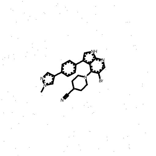 Cn1cc(-c2ccc(-c3c[nH]c4ncc(Br)c(N5CCC(C#N)CC5)c34)cc2)cn1